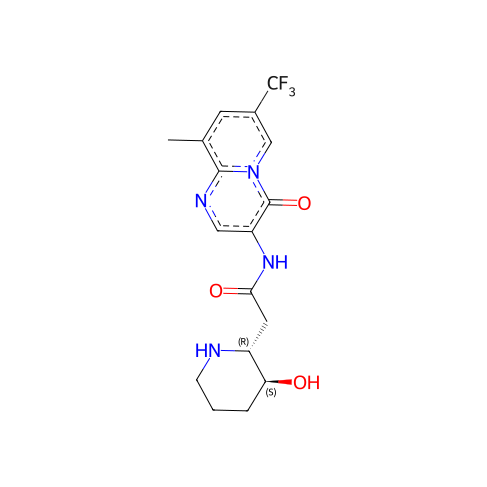 Cc1cc(C(F)(F)F)cn2c(=O)c(NC(=O)C[C@H]3NCCC[C@@H]3O)cnc12